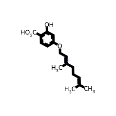 CC(C)=CCC/C(C)=C/COc1ccc(C(=O)O)c(O)c1